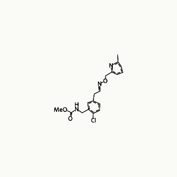 COC(=O)NCc1cc(CC=NOCc2cccc(C)n2)ccc1Cl